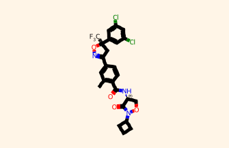 Cc1cc(C2=NOC(c3cc(Cl)cc(Cl)c3)(C(F)(F)F)C2)ccc1C(=O)N[C@@H]1CON(C2CCC2)C1=O